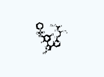 COC(=O)N[C@@H](C)CNc1nccc(-c2cn(C(C)C)nc2-c2cc(Cl)cc(NS(=O)(=O)N3CCCCC3)c2F)n1